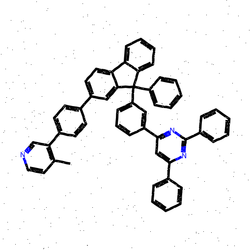 Cc1ccncc1-c1ccc(-c2ccc3c(c2)C(c2ccccc2)(c2cccc(-c4cc(-c5ccccc5)nc(-c5ccccc5)n4)c2)c2ccccc2-3)cc1